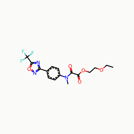 CCOCCOC(=O)C(=O)N(C)c1ccc(-c2noc(C(F)(F)F)n2)cc1